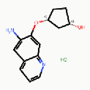 Cl.Nc1cc2cccnc2cc1O[C@@H]1CC[C@H](O)C1